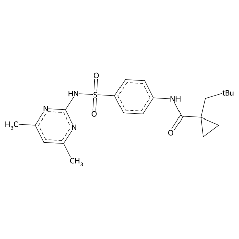 Cc1cc(C)nc(NS(=O)(=O)c2ccc(NC(=O)C3(CC(C)(C)C)CC3)cc2)n1